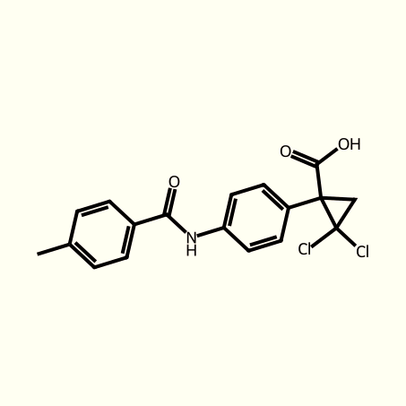 Cc1ccc(C(=O)Nc2ccc(C3(C(=O)O)CC3(Cl)Cl)cc2)cc1